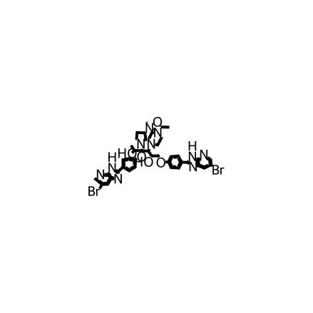 CC(=O)N1CCN(C(C(O)COc2ccc(-c3nc4cc(Br)cnc4[nH]3)cc2)C(Oc2ccc(-c3nc4cc(Br)cnc4[nH]3)cc2)(C(C)O)N2CCC(N(C)C)C2)CC1